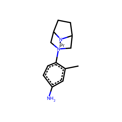 Cc1cc(N)ccc1N1CC2CCC(C1)N2C(C)C